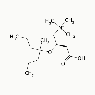 CCCC(C)(CCC)O[C@H](CC(=O)O)C[N+](C)(C)C